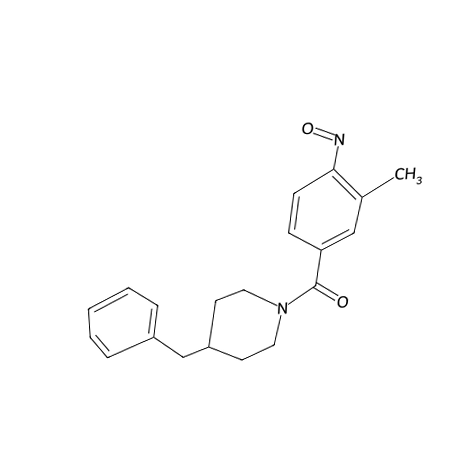 Cc1cc(C(=O)N2CCC(Cc3ccccc3)CC2)ccc1N=O